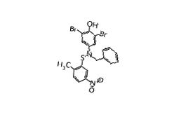 Cc1ccc([N+](=O)[O-])cc1SN(Cc1ccccc1)c1cc(Br)c(O)c(Br)c1